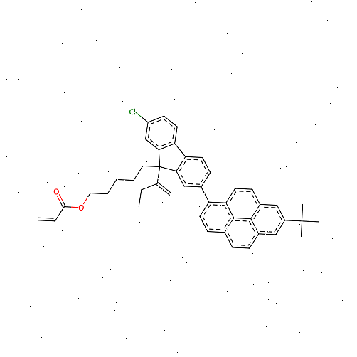 C=CC(=O)OCCCCCC1(C(=C)CC)c2cc(Cl)ccc2-c2ccc(-c3ccc4ccc5cc(C(C)(C)C)cc6ccc3c4c56)cc21